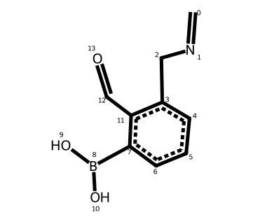 C=NCc1cccc(B(O)O)c1C=O